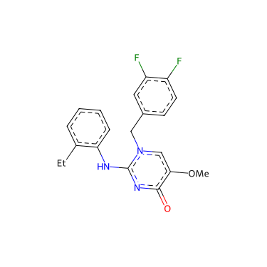 CCc1ccccc1Nc1nc(=O)c(OC)cn1Cc1ccc(F)c(F)c1